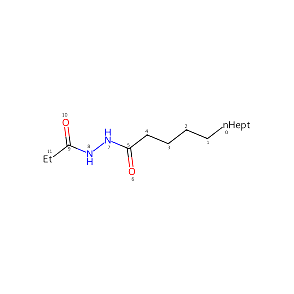 CCCCCCCCCCCC(=O)NNC(=O)CC